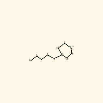 CCCCCC1CC[N]CC1